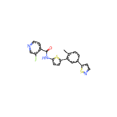 Cc1ccc(-c2ccns2)cc1-c1ccc(NC(=O)c2ccncc2F)s1